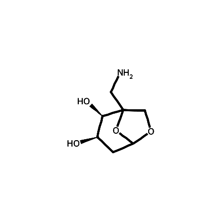 NCC12COC(C[C@@H](O)[C@H]1O)O2